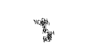 CC(=O)c1ccc(-n2cnc3cc(Nc4ccc(OC(F)F)nn4)ccc32)nc1-n1nc(C#N)cc1C